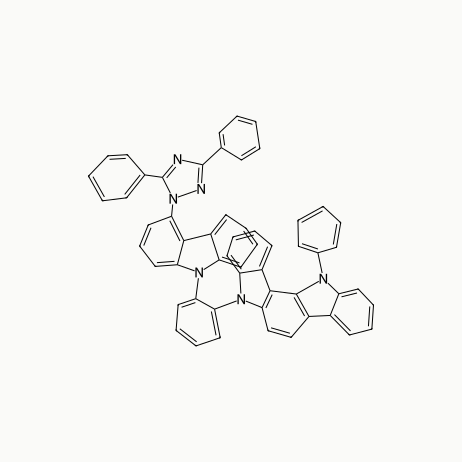 c1ccc(-c2nc(-c3ccccc3)n(-c3cccc4c3c3ccccc3n4-c3ccccc3-n3c4ccccc4c4c3ccc3c5ccccc5n(-c5ccccc5)c34)n2)cc1